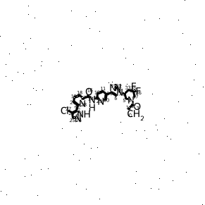 C=CC(=O)N1CC(n2cc(-c3ccc(NC(=O)c4cccc(-c5[nH]ncc5Cl)n4)nc3)nn2)CC(F)(F)C1